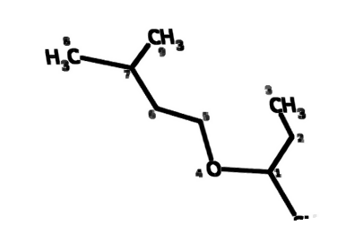 [CH2]C(CC)OCCC(C)C